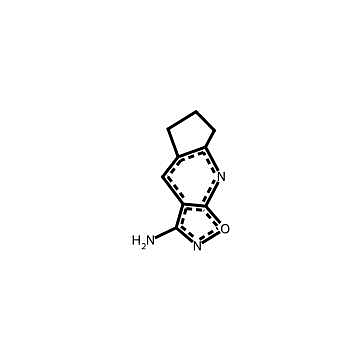 Nc1noc2nc3c(cc12)CCC3